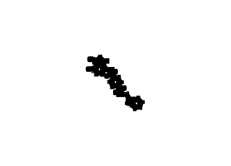 O=S(=O)(NCC1Cc2ccccc21)c1ccc(S(=O)(=O)Nc2ccc(Cl)c3c(Cl)c[nH]c23)cc1